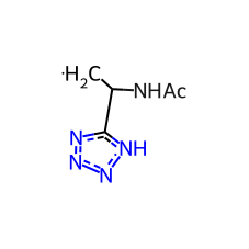 [CH2]C(NC(C)=O)c1nnn[nH]1